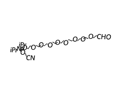 CC(C)N(C(C)C)P(OCCC#N)OCCOCCOCCOCCOCCOCCOCCOCCOCCC=O